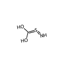 N=S=C(O)O